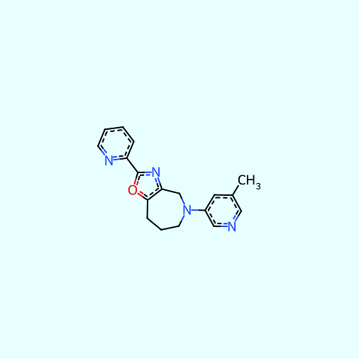 Cc1cncc(N2CCCc3oc(-c4ccccn4)nc3C2)c1